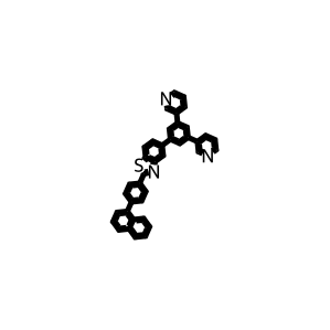 c1cncc(-c2cc(-c3cccnc3)cc(-c3ccc4sc(-c5ccc(-c6cccc7ccccc67)cc5)nc4c3)c2)c1